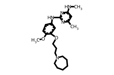 CNc1cc(C)nc(Nc2ccc(OC)c(OCCCN3CCCCCC3)c2)n1